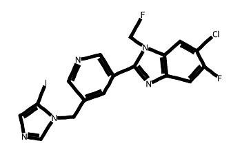 FCn1c(-c2cncc(Cn3cncc3I)c2)nc2cc(F)c(Cl)cc21